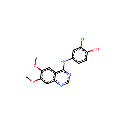 COc1cc2ncnc(Nc3ccc(O)c(Cl)c3)c2cc1OC